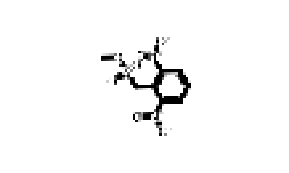 COS(=O)(=O)Cc1c([N+](=O)[O-])cccc1[N+](=O)[O-]